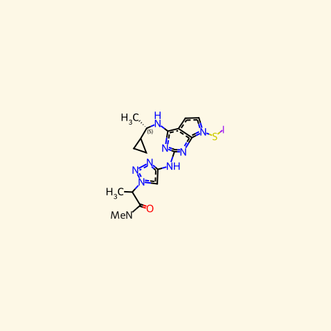 CNC(=O)C(C)n1cc(Nc2nc(N[C@@H](C)C3CC3)c3ccn(SI)c3n2)nn1